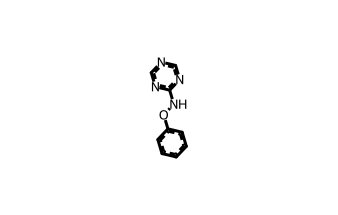 c1ccc(ONc2ncncn2)cc1